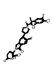 Cc1c(C(=O)N2CCC(c3cc4c(cc3F)C(=O)N(C3CCC(=O)NC3=O)C4)CC2)[nH]c2cc(Cl)c(F)cc12